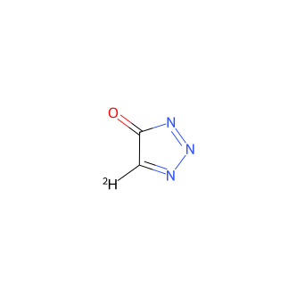 [2H]C1=NN=NC1=O